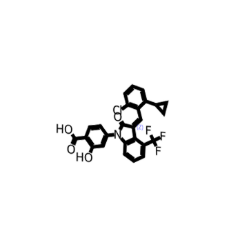 O=C(O)c1ccc(N2C(=O)/C(=C\c3c(Cl)cccc3C3CC3)c3c2cccc3C(F)(F)F)cc1O